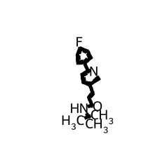 CC(C)(C)NC(=O)C=Cc1ccc(-c2ccc(F)cc2)nc1